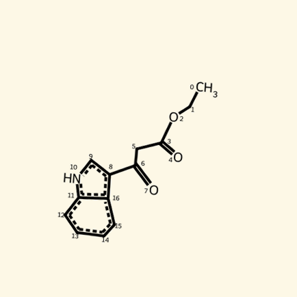 CCOC(=O)CC(=O)c1c[nH]c2ccccc12